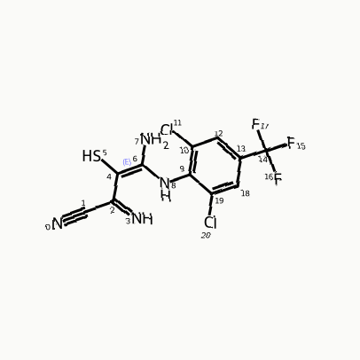 N#CC(=N)/C(S)=C(/N)Nc1c(Cl)cc(C(F)(F)F)cc1Cl